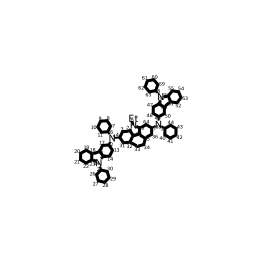 CCn1c2cc(N(c3ccccc3)c3ccc4c(c3)c3ccccc3n4-c3ccccc3)cc3ccc4cc(N(c5ccccc5)c5ccc6c(c5)c5ccccc5n6-c5ccccc5)cc1c4c32